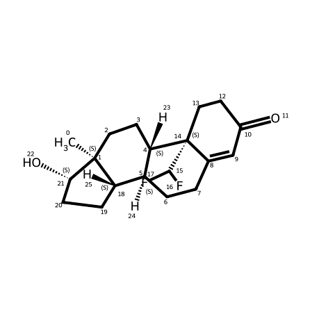 C[C@]12CC[C@H]3[C@@H](CCC4=CC(=O)CC[C@@]43C(F)F)[C@@H]1CC[C@@H]2O